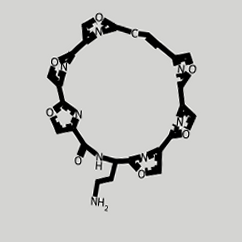 NCCC1NC(=O)c2coc(n2)-c2coc(n2)-c2coc(n2)C/C=C/c2coc(n2)-c2coc(n2)-c2coc1n2